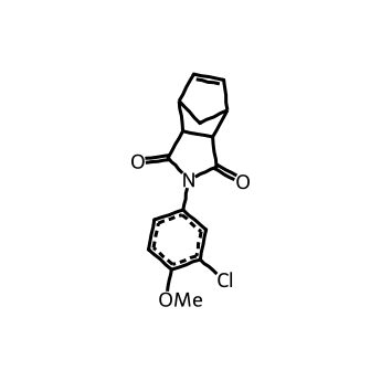 COc1ccc(N2C(=O)C3C4C=CC(C4)C3C2=O)cc1Cl